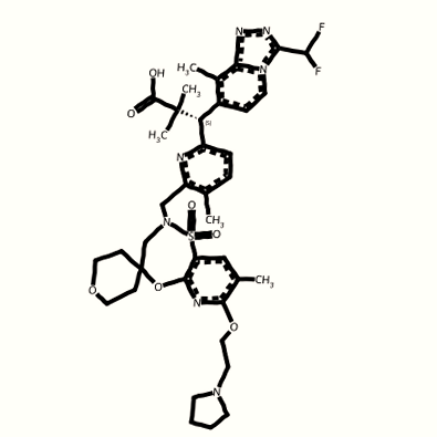 Cc1ccc([C@@H](c2ccn3c(C(F)F)nnc3c2C)C(C)(C)C(=O)O)nc1CN1CC2(CCOCC2)Oc2nc(OCCN3CCCC3)c(C)cc2S1(=O)=O